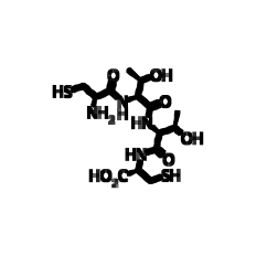 C[C@@H](O)[C@H](NC(=O)[C@@H](NC(=O)[C@@H](N)CS)[C@@H](C)O)C(=O)N[C@@H](CS)C(=O)O